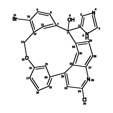 OC1(c2cnc[nH]2)c2ccc(Br)c(c2)COc2cccc(c2)-c2cc(Cl)nc3ccc1cc23